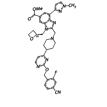 COC(=O)c1cc(-c2ccn(C)n2)c2nc(CN3CCC(c4ccnc(OCc5ccc(C#N)cc5F)n4)CC3)n(C[C@@H]3CCO3)c2c1